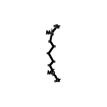 [Br][Mg][CH2]CCC[CH2][Mg][Br]